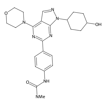 CNC(=O)Nc1ccc(-c2nc(N3CCOCC3)c3cnn(C4CCC(O)CC4)c3n2)cc1